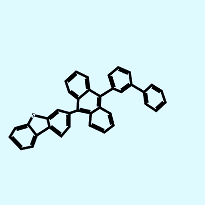 c1ccc(-c2cccc(-c3c4ccccc4c(-c4ccc5c(c4)sc4ccccc45)c4ccccc34)c2)cc1